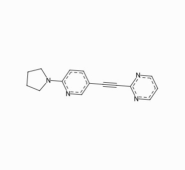 C(#Cc1ncccn1)c1ccc(N2CCCC2)nc1